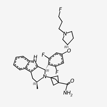 C[C@H]1Cc2c([nH]c3ccccc23)[C@H](c2c(F)cc(O[C@H]3CCN(CCCF)C3)cc2F)N1C12CC(C(N)=O)(C1)C2